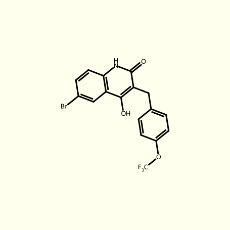 O=c1[nH]c2ccc(Br)cc2c(O)c1Cc1ccc(OC(F)(F)F)cc1